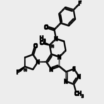 Cc1nsc(-c2nc(N3C[C@@H](F)CC3=O)c3n2CCN(C(=O)c2ccc(F)cc2)[C@@H]3C)n1